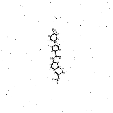 CN(C)CC1=Cc2ccc(NC(=O)c3ccc(-c4ccc(F)cc4)cc3)cc2CC1